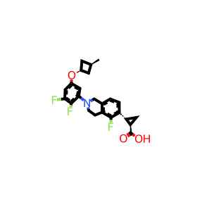 C[C@H]1C[C@H](Oc2cc(F)c(F)c(N3CCc4c(ccc([C@@H]5C[C@H]5C(=O)O)c4F)C3)c2)C1